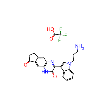 NCCCn1cc(-c2nc3cc4c(cc3[nH]c2=O)C(=O)CC4)c2ccccc21.O=C(O)C(F)(F)F